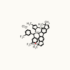 CC1=CC(C)[C]([Zr+2](=[C](c2cccc(C(F)(F)F)c2)c2cccc(C(F)(F)F)c2)[CH]2c3cc4c(cc3-c3cc5c(cc32)C(C)(C)C=C5)C=CC4(C)C)=C1.[Cl-].[Cl-]